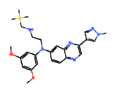 COc1cc(OC)cc(N(CCNCS(C)(C)C)c2ccc3ncc(-c4cnn(C)c4)nc3c2)c1